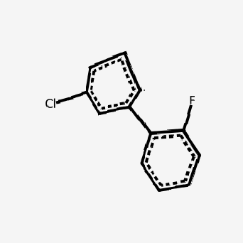 Fc1ccccc1-c1[c]ccc(Cl)c1